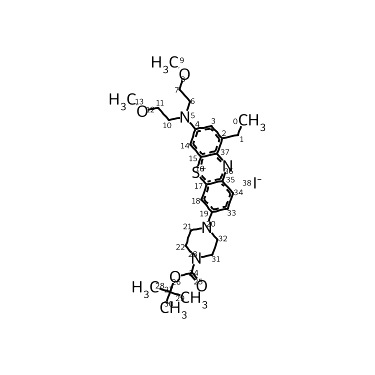 CCc1cc(N(CCOC)CCOC)cc2[s+]c3cc(N4CCN(C(=O)OC(C)(C)C)CC4)ccc3nc12.[I-]